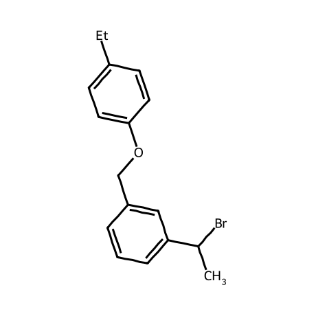 CCc1ccc(OCc2cccc(C(C)Br)c2)cc1